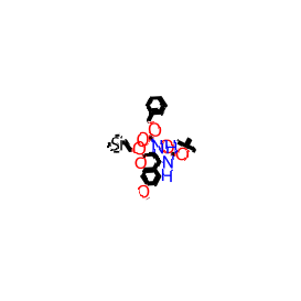 COc1ccc([C@@H](NC(=O)OC(C)(C)C)[C@H](NC(=O)OCc2ccccc2)C(=O)OCC[Si](C)(C)C)cc1